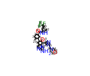 COc1c(-c2cc(C(=O)Nc3cccc(C(F)(F)F)c3)ccc2C)cc2cnc(N)nc2c1-c1cnn(CCN2CCOCC2)c1